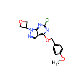 COc1ccc(COc2nc(Cl)nc3c2cnn3C2COC2)cc1